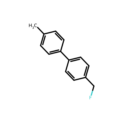 Cc1ccc(-c2ccc(CF)cc2)cc1